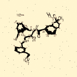 CCc1cccc(CNC[C@H](O)[C@H](Cc2cc(F)cc(F)c2)NC(=O)c2ccc3c(c2)OC(C)(C)CC3)c1.Cl